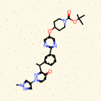 CC(c1cccc(-c2ncc(OC3CCN(C(=O)OC(C)(C)C)CC3)cn2)c1)c1nn(-c2cnn(C)c2)ccc1=O